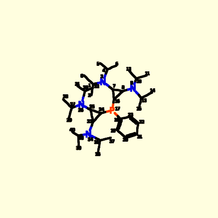 CC(C)N(C(C)C)C1C(N(C(C)C)C(C)C)C1P(c1ccccc1)C1C(N(C(C)C)C(C)C)C1N(C(C)C)C(C)C